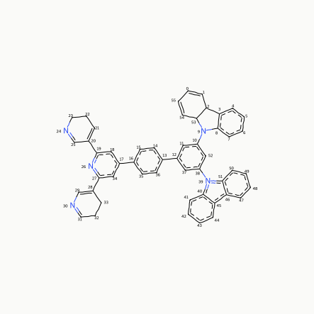 C1=CC2c3ccccc3N(c3cc(-c4ccc(-c5cc(C6=CCCN=C6)nc(C6=CN=CCC6)c5)cc4)cc(-n4c5ccccc5c5ccccc54)c3)C2C=C1